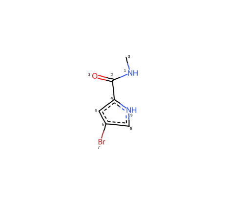 CNC(=O)c1cc(Br)c[nH]1